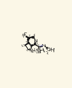 N/C(=N\O)c1ncc(F)c2c1NCC2